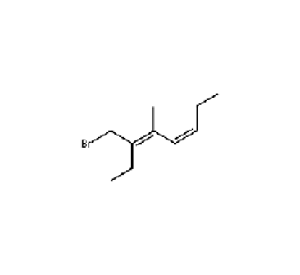 CC/C=C\C(C)=C(/CC)CBr